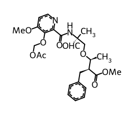 COC(=O)[C@@H](Cc1ccccc1)[C@H](C)OC[C@@](C)(C=O)NC(=O)c1nccc(OC)c1OCOC(C)=O